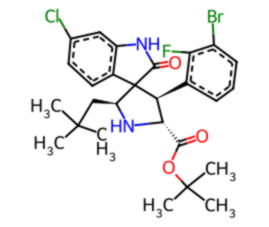 CC(C)(C)C[C@@H]1N[C@@H](C(=O)OC(C)(C)C)[C@H](c2cccc(Br)c2F)C12C(=O)Nc1cc(Cl)ccc12